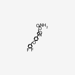 NC(=O)OCc1cc(-c2ccc(OCc3ccc(F)c(F)c3)cc2)no1